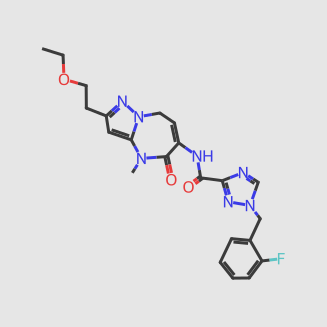 CCOCCc1cc2n(n1)CC=C(NC(=O)c1ncn(Cc3ccccc3F)n1)C(=O)N2C